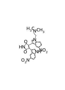 CN(C)CCn1cc(C2=C(c3c[nH]c4ccc([N+](=O)[O-])cc34)C(=O)NC2=O)c2cc([N+](=O)[O-])ccc21